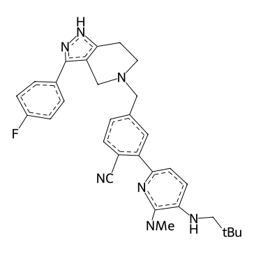 CNc1nc(-c2cc(CN3CCc4[nH]nc(-c5ccc(F)cc5)c4C3)ccc2C#N)ccc1NCC(C)(C)C